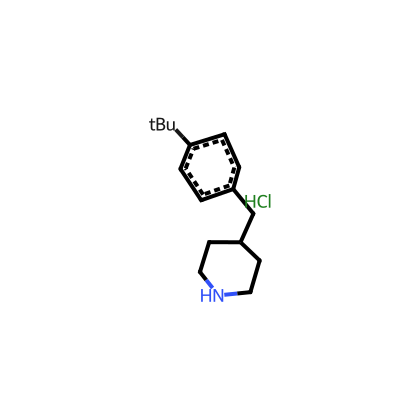 CC(C)(C)c1ccc(CC2CCNCC2)cc1.Cl